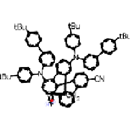 C=C1/C=C\C=C/CSc2cc(N(c3ccc(C(C)(C)C)cc3)c3cccc(-c4ccc(C(C)(C)C)cc4)c3)c3c(c21)C1(c2ccccc2-c2cc(C#N)ccc21)c1cc(N(c2ccc(C(C)(C)C)cc2)c2cccc(-c4ccc(C(C)(C)C)cc4)c2)ccc1-3